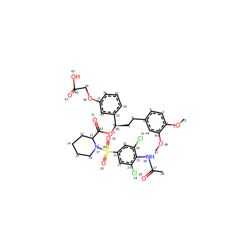 COc1ccc(CC[C@@H](OC(=O)C2CCCCN2S(=O)(=O)c2cc(Cl)c(NC(C)=O)c(Cl)c2)c2cccc(OCC(=O)O)c2)cc1OC